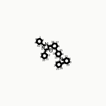 c1ccc(-c2nc(-c3ccccc3)c3oc4c(-c5ccc(-n6c7ccccc7c7ccccc76)cc5)cccc4c3n2)cc1